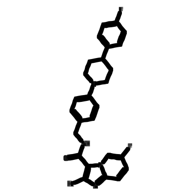 CCc1nc2ccc(F)cn2c1C(=O)NCc1ccc(N2CCC(c3ccc(F)cc3)CC2)cc1